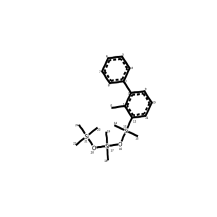 Cc1c(-c2ccccc2)cccc1[Si](C)(C)O[Si](C)(C)O[Si](C)(C)C